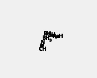 B.B.B.C#N.[NaH]